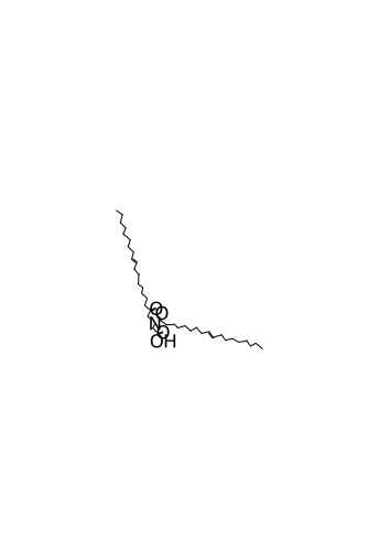 CCCCCCCCC=CCCCCCCCC(=O)CN(CC(=O)O)C(=O)CCCCCCCC=CCCCCCCCC